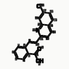 O=C(O)c1ccccc1C=Cc1ccc2ccc(Cl)cc2n1